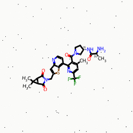 Cc1cc(C(F)(F)F)nc(-c2ccnc3cc(CN4C(=O)C5C(C4=O)C5(C)C)sc23)c1C(=O)N1CC[C@H](NC(=O)[C@H](C)N)C1